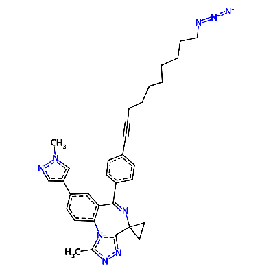 Cc1nnc2n1-c1ccc(-c3cnn(C)c3)cc1C(c1ccc(C#CCCCCCCCCN=[N+]=[N-])cc1)=NC21CC1